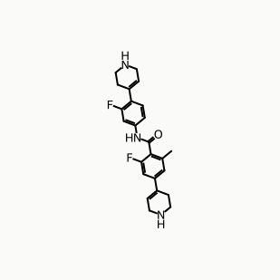 Cc1cc(C2=CCNCC2)cc(F)c1C(=O)Nc1ccc(C2=CCNCC2)c(F)c1